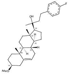 CO[C@H]1CC[C@@]2(C)C(=CC[C@H]3[C@@H]4CC[C@H](C(C)(O)CCc5ccc(F)cc5)[C@@]4(C)CC[C@@H]32)C1